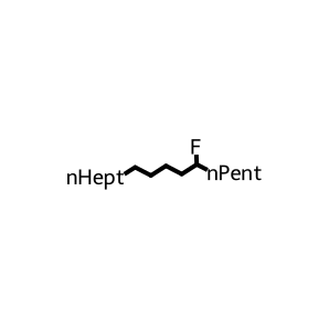 CCCCCCCCCCCC(F)CCCCC